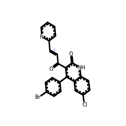 O=C(/C=C/c1ccccn1)c1c(-c2ccc(Br)cc2)c2cc(Cl)ccc2[nH]c1=O